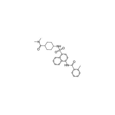 Cc1ccccc1C(=O)Nc1ccc(S(=O)(=O)NC2CCC(C(=O)N(C)C)CC2)c2ccccc12